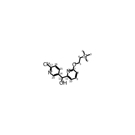 C[Si](C)(C)CCOc1cccc(C(O)c2ccc(Cl)nc2)n1